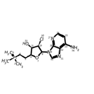 C=P(C)(C)CCC1OC(n2cnc3c(N)ccnc32)[C@H](Cl)[C@@H]1O